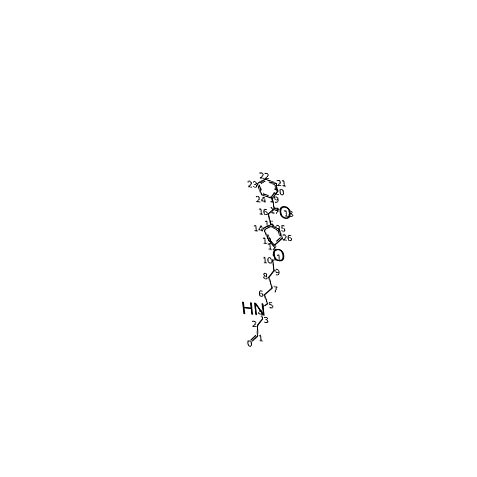 C=CCCNCCCCCCOc1ccc(CC(=O)c2ccccc2)cc1